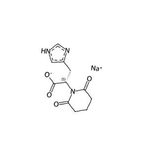 O=C([O-])[C@H](Cc1c[nH]cn1)N1C(=O)CCCC1=O.[Na+]